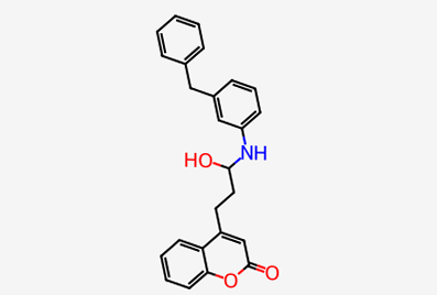 O=c1cc(CCC(O)Nc2cccc(Cc3ccccc3)c2)c2ccccc2o1